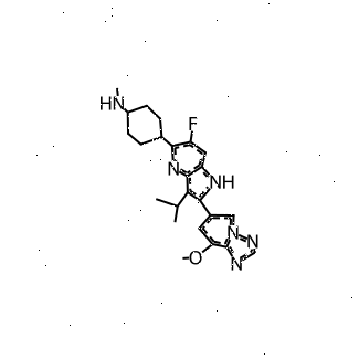 CNC1CCC(c2nc3c(C(C)C)c(-c4cc(OC)c5ncnn5c4)[nH]c3cc2F)CC1